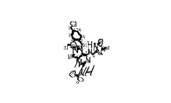 COC(=O)Nc1nc(NCc2noc(C)n2)c2c(cnn2Cc2ccc(CCl)cc2OC)n1